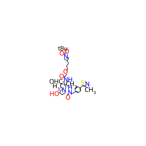 Cc1ncsc1-c1ccc(CNC(=O)[C@@H]2C[C@@H](O)CN2CC(C)(C)[C@@H](C=O)NC(=O)COCCCC2CN(C(=O)OC(C)(C)C)C2)cc1